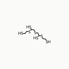 SCCSC(S)CSCC(S)SCCS